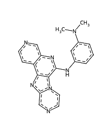 CN(C)c1cccc(Nc2nc3cnccc3c3nc4cnccn4c23)c1